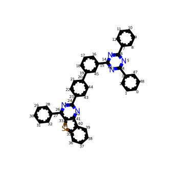 c1ccc(-c2nc(-c3ccccc3)nc(-c3cccc(-c4ccc(-c5nc(-c6ccccc6)c6sc7ccccc7c6n5)cc4)c3)n2)cc1